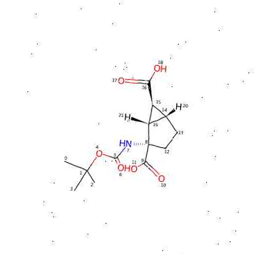 CC(C)(C)OC(=O)N[C@@]1(C(=O)O)CC[C@H]2[C@H](C(=O)O)[C@H]21